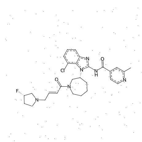 Cc1cc(C(=O)Nc2nc3cccc(Cl)c3n2[C@@H]2CCCCN(C(=O)C=CCN3CC[C@H](F)C3)C2)ccn1